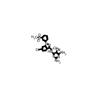 C[C@H](Nc1nc(N)nc(N)c1C#N)c1nn(-c2cccc(S(C)(=O)=O)c2)c2cc(Cl)ccc12